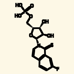 O=P(O)(O)OC[C@H]1O[C@@H](n2ccc3ccc(F)cc3c2=S)[C@H](O)[C@H]1O